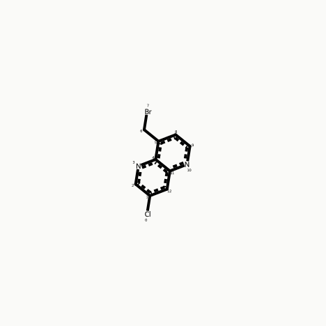 Clc1cnc2c(CBr)ccnc2c1